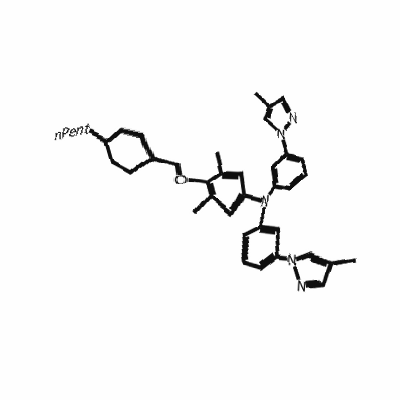 CCCCCC1CCC(COc2c(C)cc(N(c3cccc(-n4cc(C)cn4)c3)c3cccc(-n4cc(C)cn4)c3)cc2C)CC1